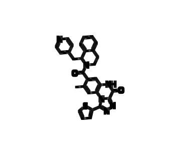 Cc1cc2c(cc1C(=O)N1CCc3ccccc3C1Cc1ccncc1)[nH]c(=O)c1nnc(-c3cccs3)n12